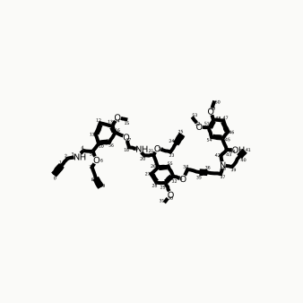 C#CCNCC(OCC#C)c1ccc(OC)c(OCNCC(OCC#C)c2ccc(OC)c(OCC#CCN(CC#C)CC(O)c3ccc(OC)c(OC)c3)c2)c1